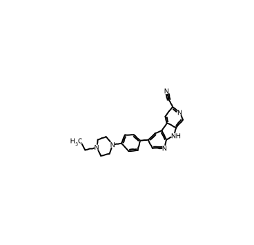 CCN1CCN(c2ccc(-c3cnc4[nH]c5cnc(C#N)cc5c4c3)cc2)CC1